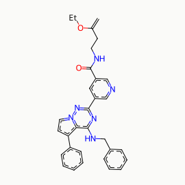 C=C(CCNC(=O)c1cncc(-c2nc(NCc3ccccc3)c3c(-c4ccccc4)ccn3n2)c1)OCC